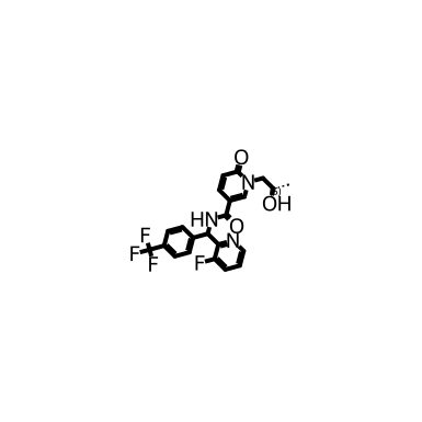 C[C@H](O)Cn1cc(C(=O)NC(c2ccc(C(F)(F)F)cc2)c2ncccc2F)ccc1=O